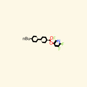 CCCC[C@H]1CC[C@H]([C@H]2CC[C@H](C(=O)Oc3cc(F)c(F)nc3F)CC2)CC1